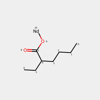 CCCCC(CC)C(=O)[O][Nd]